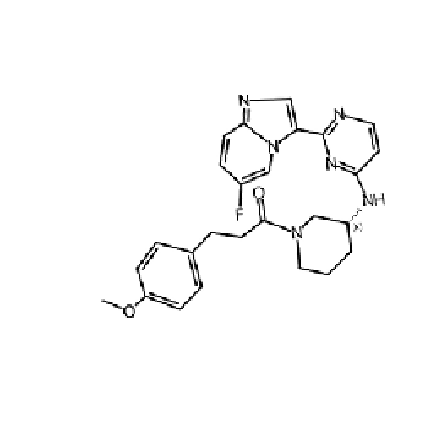 COc1ccc(CCC(=O)N2CCC[C@@H](Nc3ccnc(-c4cnc5ccc(F)cn45)n3)C2)cc1